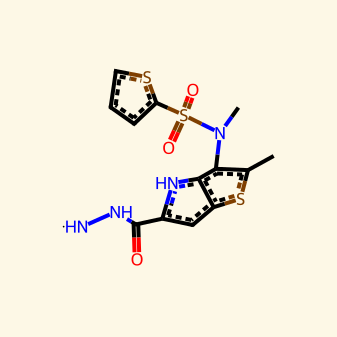 Cc1sc2cc(C(=O)N[NH])[nH]c2c1N(C)S(=O)(=O)c1cccs1